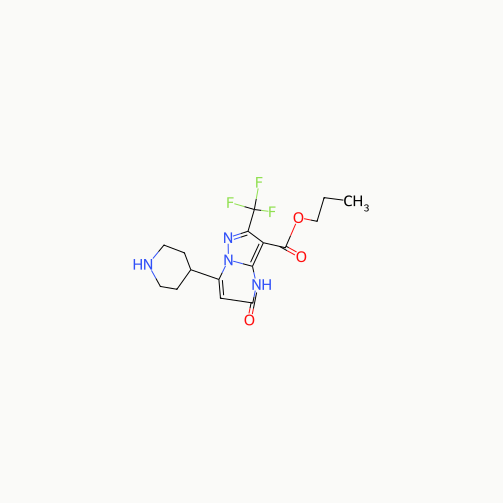 CCCOC(=O)c1c(C(F)(F)F)nn2c(C3CCNCC3)cc(=O)[nH]c12